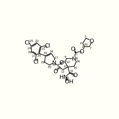 O=C(O[C@H]1CCOC1)N1CCC(CS(=O)(=O)N2CC=C(c3c(Cl)cc(Cl)cc3Cl)CC2)(C(=O)NO)CC1